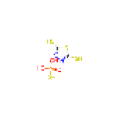 O=P(O)(O)S.Sc1nnc(S)s1